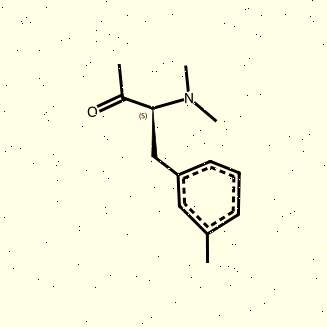 CC(=O)[C@H](Cc1cccc(C)c1)N(C)C